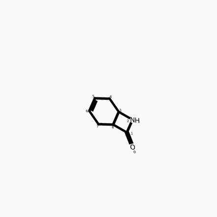 O=C1NC2CC=CCC12